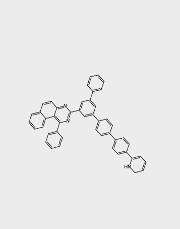 C1=CCNC(c2ccc(-c3ccc(-c4cc(-c5ccccc5)cc(-c5nc(-c6ccccc6)c6c(ccc7ccccc76)n5)c4)cc3)cc2)=C1